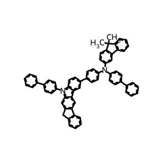 CC1(C)c2ccccc2-c2cc(N(c3ccc(-c4ccccc4)cc3)c3ccc(-c4ccc5c(c4)c4cc6c(cc4n5-c4ccc(-c5ccccc5)cc4)Cc4ccccc4-6)cc3)ccc21